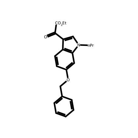 CCCn1cc(C(=O)C(=O)OCC)c2ccc(OCc3ccccc3)cc21